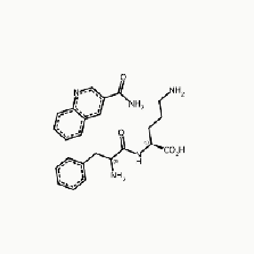 NC(=O)c1cnc2ccccc2c1.NCCC[C@H](NC(=O)[C@@H](N)Cc1ccccc1)C(=O)O